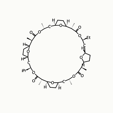 CC[C@H]1C[C@@H]2CC[C@@H](O2)[C@@H](C)C(=O)O[C@H](C)C[C@H]2CC[C@H](O2)[C@H](C)C(=O)O[C@@H](C(C)C)C[C@@H]2CC[C@@H](O2)[C@@H](C)C(=O)O[C@H](C)C[C@H]2CC[C@H](O2)[C@H](C)C(=O)O1